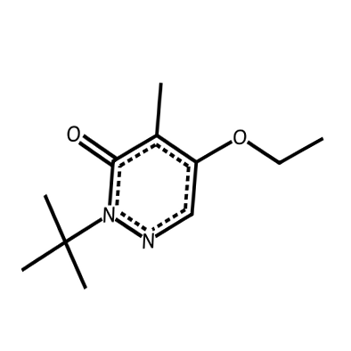 CCOc1cnn(C(C)(C)C)c(=O)c1C